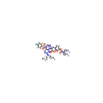 CCN(CC)c1ncc(N(C)S(=O)(=O)c2ccc(F)cc2)c(NC(Cc2ccc(OC(=O)N(C)C)cc2)C(=O)O)n1